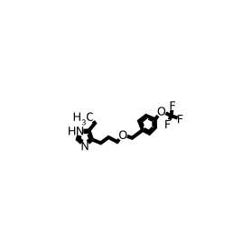 CCc1[nH]cnc1CCCOCc1ccc(OC(F)(F)F)cc1